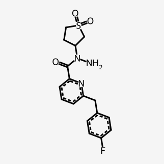 NN(C(=O)c1cccc(Cc2ccc(F)cc2)n1)C1CCS(=O)(=O)C1